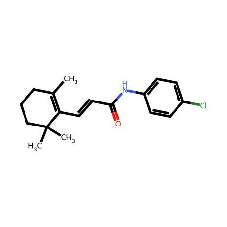 CC1=C(/C=C/C(=O)Nc2ccc(Cl)cc2)C(C)(C)CCC1